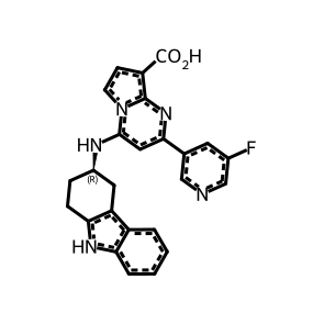 O=C(O)c1ccn2c(N[C@@H]3CCc4[nH]c5ccccc5c4C3)cc(-c3cncc(F)c3)nc12